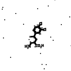 CC(CC(CN)C(=O)O)c1ccc(Cl)c(Cl)c1